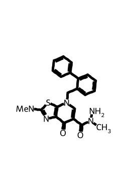 CNc1nc2c(=O)c(C(=O)N(C)N)cn(Cc3ccccc3-c3ccccc3)c2s1